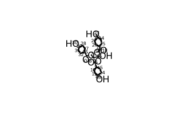 O=C(O[CH]C(O)(OC(=O)c1ccc(O)cc1)OC(=O)c1ccc(O)cc1)c1ccc(O)cc1